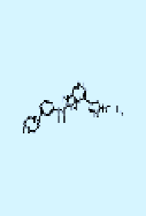 Cn1cc(-c2cncc3nc(Nc4cccc(N5CCOCC5)c4)nn23)cn1